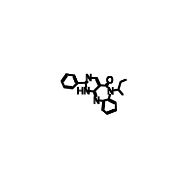 CCC(C)N1C(=O)C2=CN=C(c3ccccc3)NC2=Nc2ccccc21